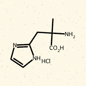 CC(N)(Cc1ncc[nH]1)C(=O)O.Cl